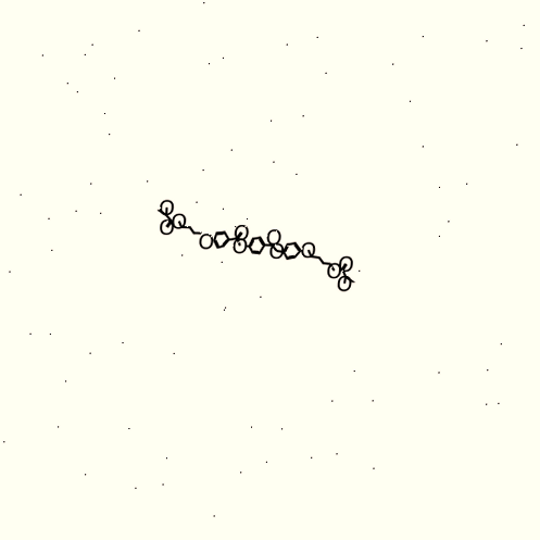 O=C(Oc1ccc(C(=O)Oc2ccc(OCCCCOC(=O)C3CO3)cc2)cc1)c1ccc(OCCCCOC(=O)C2CO2)cc1